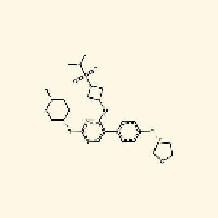 CN(C)S(=O)(=O)N1CC(Oc2nc(N[C@H]3CC[C@H](C)CC3)ncc2-c2ccc(O[C@@H]3CCOC3)cc2)C1